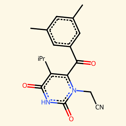 Cc1cc(C)cc(C(=O)c2c(C(C)C)c(=O)[nH]c(=O)n2CC#N)c1